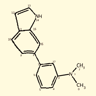 CN(C)c1cccc(-c2ccc3cc[nH]c3c2)c1